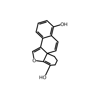 OC1=C2OC=C3c4cccc(O)c4C=CC32CCC1